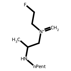 C=[N+](CCF)CC(C)NCCCCC